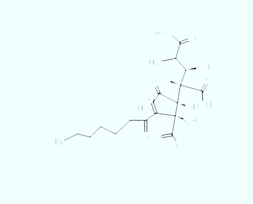 CC(=O)C(O)[C@@H](O)[C@](O)(C(C)=O)[C@@](O)(C(C)=O)[C@](O)(C(C)=O)C(=O)C(=O)CCCCCBr